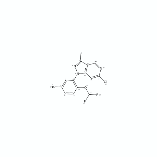 Cc1nn(-c2cc(S)ccc2OC(F)F)c2cc(Cl)ncc12